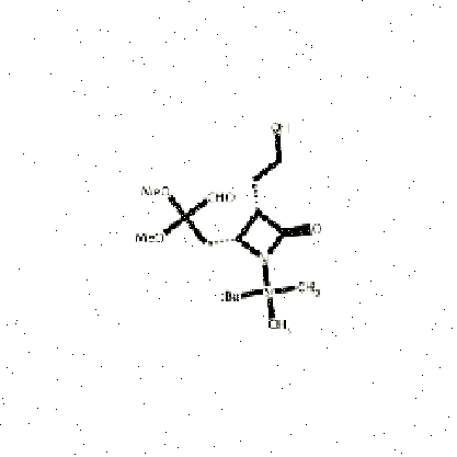 COC(C=O)(C[C@@H]1[C@H](CCO)C(=O)N1[Si](C)(C)C(C)(C)C)OC